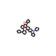 C1=C2c3ccccc3N(c3ccccc3)C2CC=C1N(c1ccc2oc3ccccc3c2c1)c1cccc(-c2ccccc2)c1-c1ccccc1-c1ccccc1